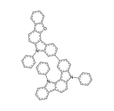 c1ccc(-n2c3cc(-c4ccc5c(c4)c4c(ccc6c7ccccc7n(-c7ccccc7)c64)n5-c4ccccc4)ccc3c3c4oc5ccccc5c4ccc32)cc1